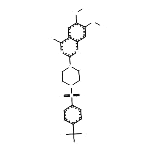 COc1cc2nc(N3CCN(S(=O)(=O)c4ccc(C(C)(C)C)cc4)CC3)nc(N)c2cc1OC